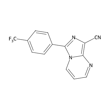 N#Cc1nc(-c2ccc(C(F)(F)F)cc2)n2cccnc12